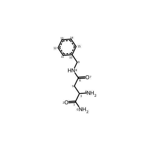 NC(=O)C(N)CC(=O)NCc1ccccc1